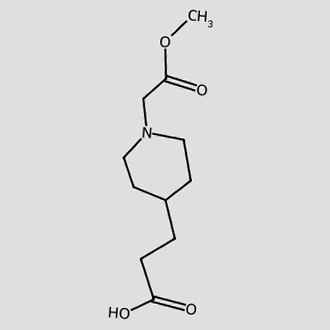 COC(=O)CN1CCC(CCC(=O)O)CC1